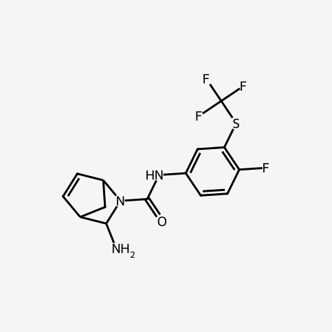 NC1C2C=CC(C2)N1C(=O)Nc1ccc(F)c(SC(F)(F)F)c1